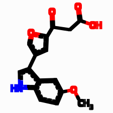 COc1ccc2[nH]cc(-c3coc(C(=O)CC(=O)O)c3)c2c1